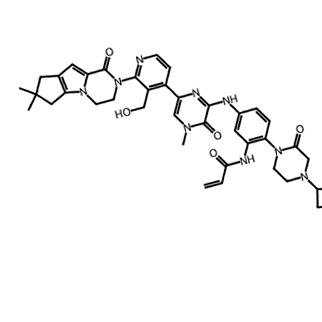 C=CC(=O)Nc1cc(Nc2nc(-c3ccnc(N4CCn5c(cc6c5CC(C)(C)C6)C4=O)c3CO)cn(C)c2=O)ccc1N1CCN(C2COC2)CC1=O